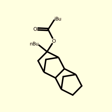 CCCCC1(OC(=O)C(C)CC)CC2CC1C1C3CCC(C3)C21